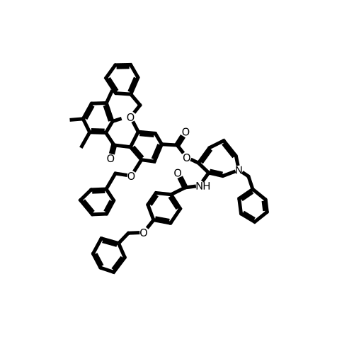 Cc1cc(C)c(C)c(C(=O)c2c(OCc3ccccc3)cc(C(=O)OC3=CC=CN(Cc4ccccc4)C=C3NC(=O)c3ccc(OCc4ccccc4)cc3)cc2OCc2ccccc2)c1C